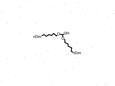 CCCCCCCCCCCCCCCCOC(O)OCCCCCCCCCCCCCCCC